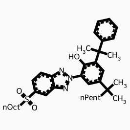 CCCCCCCCS(=O)(=O)c1ccc2nn(-c3cc(C(C)(C)CCCCC)cc(C(C)(C)c4ccccc4)c3O)nc2c1